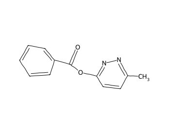 Cc1ccc(OC(=O)c2ccccc2)nn1